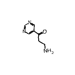 NCCC(=O)c1cncnc1